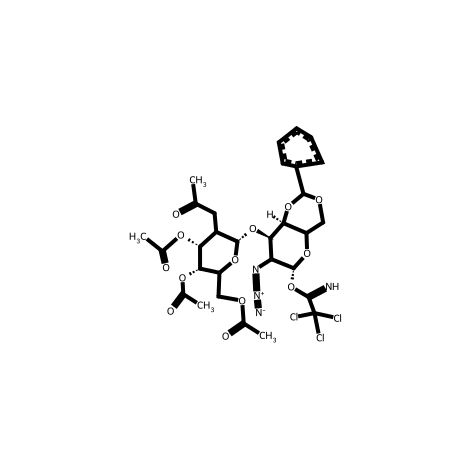 CC(=O)CC1[C@H](O[C@@H]2C(N=[N+]=[N-])[C@@H](OC(=N)C(Cl)(Cl)Cl)OC3COC(c4ccccc4)O[C@@H]32)OC(COC(C)=O)[C@H](OC(C)=O)[C@@H]1OC(C)=O